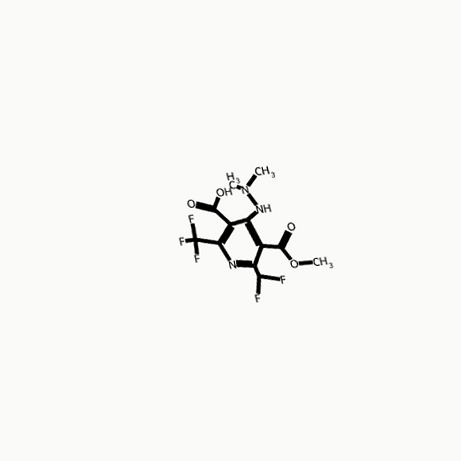 COC(=O)c1c(C(F)F)nc(C(F)(F)F)c(C(=O)O)c1NN(C)C